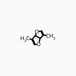 CC1=COC2C(C)=COC12